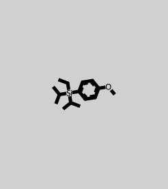 CC[Si](c1ccc(OC)cc1)(C(C)C)C(C)C